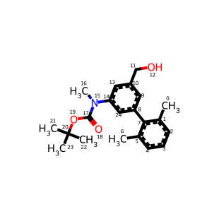 Cc1cccc(C)c1-c1cc(CO)cc(N(C)C(=O)OC(C)(C)C)c1